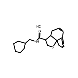 Cl.O=C(NCC1CCCCC1)C1CSC23CC=CC=C2N=CCC13